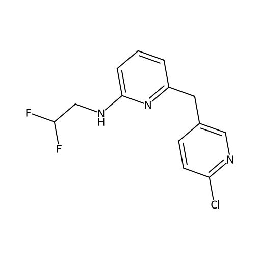 FC(F)CNc1cccc(Cc2ccc(Cl)nc2)n1